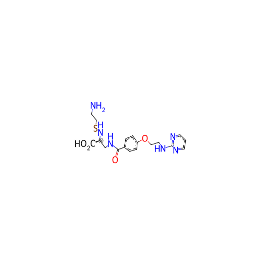 NCCSN[C@@H](CNC(=O)c1ccc(OCCNc2ncccn2)cc1)C(=O)O